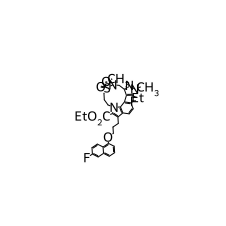 CCOC(=O)c1c(CCCOc2cccc3cc(F)ccc23)c2ccc(F)c3c2n1CCCS(=O)(=O)N(C)Cc1nn(C)c(CC)c1-3